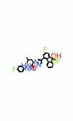 CC(C)CC(C(=O)NNc1ccc(F)cc1)n1cc(-c2cc(F)cc3c2-c2ccccc2C3(O)C(F)(F)F)cn1